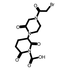 O=C(CBr)N1CCN(C2CCC(=O)N(C(=O)O)C2=O)C(=O)C1